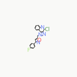 Fc1ccc(-c2cc(Cn3cnc4c(Cl)nc5ccccc5c43)on2)cc1